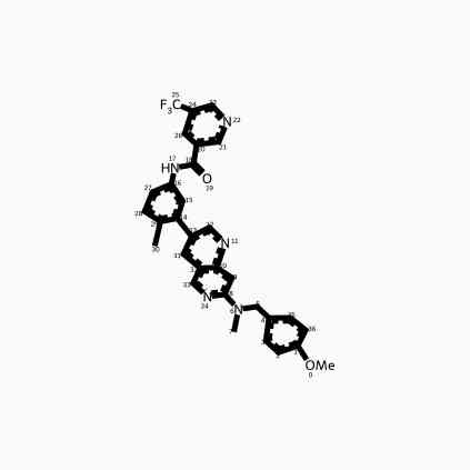 COc1ccc(CN(C)c2cc3ncc(-c4cc(NC(=O)c5cncc(C(F)(F)F)c5)ccc4C)cc3cn2)cc1